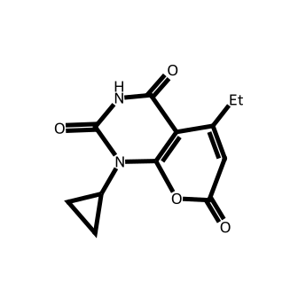 CCc1cc(=O)oc2c1c(=O)[nH]c(=O)n2C1CC1